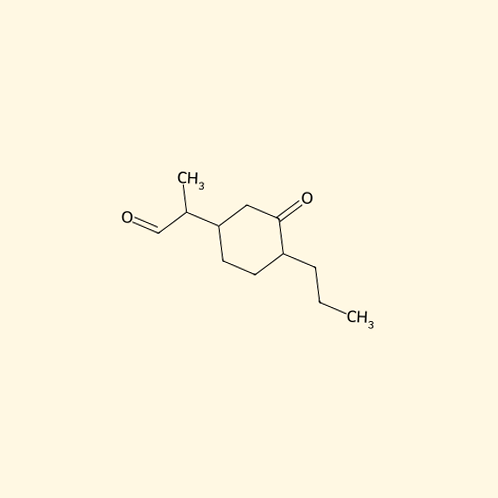 CCCC1CCC(C(C)C=O)CC1=O